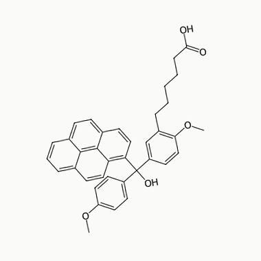 COc1ccc(C(O)(c2ccc(OC)c(CCCCCC(=O)O)c2)c2ccc3ccc4cccc5ccc2c3c45)cc1